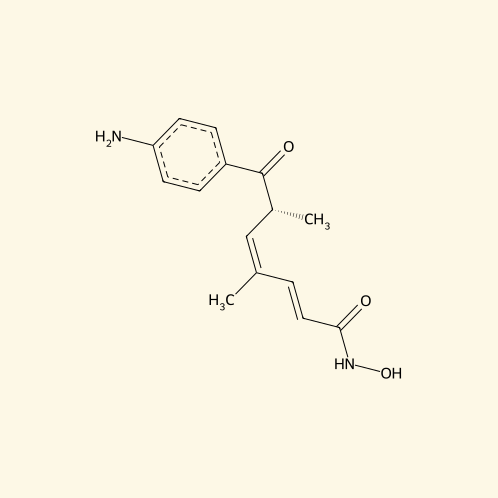 CC(C=CC(=O)NO)=C[C@@H](C)C(=O)c1ccc(N)cc1